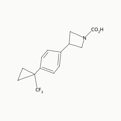 O=C(O)N1CC(c2ccc(C3(C(F)(F)F)CC3)cc2)C1